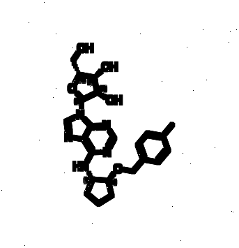 Cc1ccc(CO[C@H]2CCC[C@@H]2Nc2ncnc3c2ncn3[C@@H]2O[C@H](CO)[C@@H](O)[C@H]2O)cc1